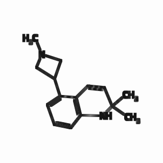 CN1CC(c2cccc3c2C=CC(C)(C)N3)C1